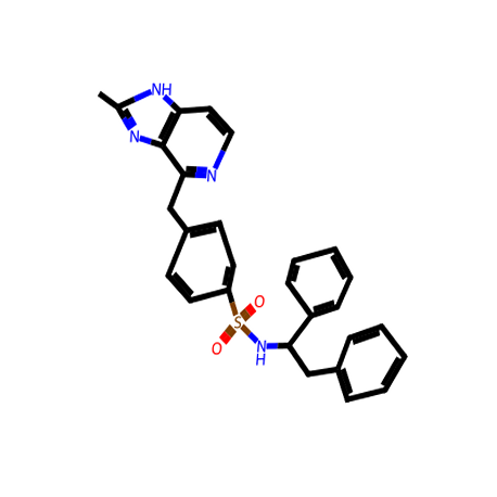 Cc1nc2c(Cc3ccc(S(=O)(=O)NC(Cc4ccccc4)c4ccccc4)cc3)nccc2[nH]1